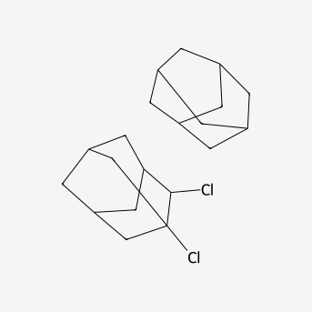 C1C2CC3CC1CC(C2)C3.ClC1C2CC3CC(C2)CC1(Cl)C3